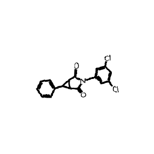 O=C1C2C(C(=O)N1c1cc(Cl)cc(Cl)c1)C2c1ccccc1